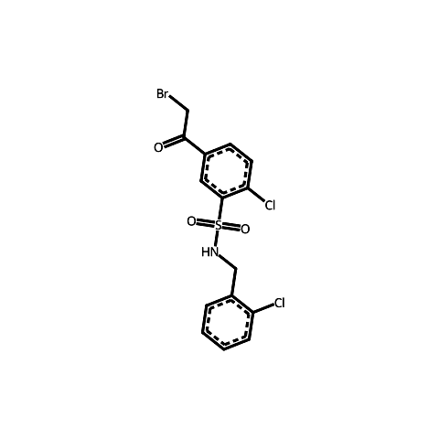 O=C(CBr)c1ccc(Cl)c(S(=O)(=O)NCc2ccccc2Cl)c1